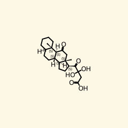 C[C@]12CCCC[C@@H]1CC[C@H]1[C@@H]3CC[C@H](C(=O)C(O)(O)CC(=O)O)[C@@]3(C)CC(=O)[C@@H]12